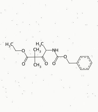 CCOC(=O)C(C)(C)C(=O)C(C)NC(=O)OCc1ccccc1